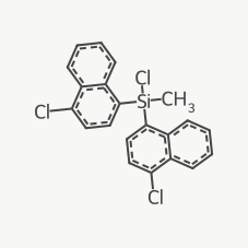 C[Si](Cl)(c1ccc(Cl)c2ccccc12)c1ccc(Cl)c2ccccc12